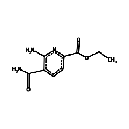 CCOC(=O)c1ccc(C(N)=O)c(N)n1